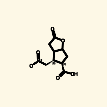 O=C1CC2C(C[C@@H](C(=O)O)[C@@H]2C[N+](=O)[O-])O1